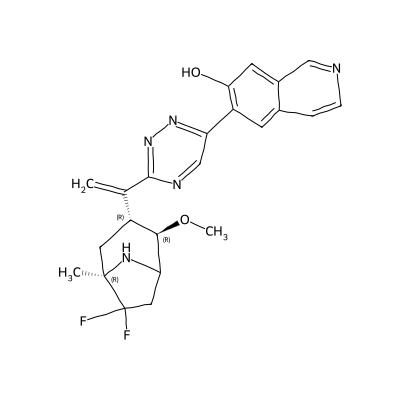 C=C(c1ncc(-c2cc3ccncc3cc2O)nn1)[C@H]1C[C@@]2(C)NC(CC2(F)F)[C@@H]1OC